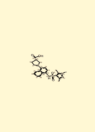 Cc1nn(C)c(C)c1S(=O)(=O)Nc1ccc(N2CC[C@H](C(=O)O)C2)c2ccccc12